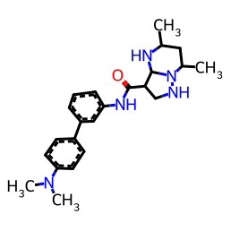 CC1CC(C)N2NCC(C(=O)Nc3cccc(-c4ccc(N(C)C)cc4)c3)C2N1